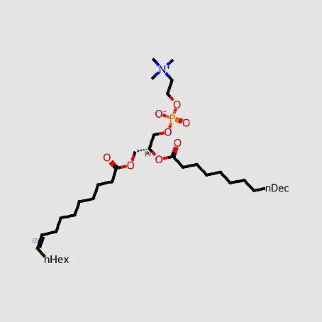 CCCCCC/C=C\CCCCCCCC(=O)OC[C@H](COP(=O)([O-])OCC[N+](C)(C)C)OC(=O)CCCCCCCCCCCCCCCCC